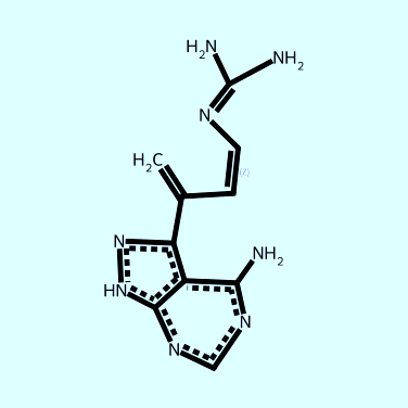 C=C(/C=C\N=C(N)N)c1n[nH]c2ncnc(N)c12